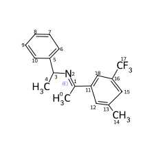 C/C(=N\C(C)c1ccccc1)c1cc(C)cc(C(F)(F)F)c1